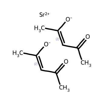 CC(=O)/C=C(/C)[O-].CC(=O)/C=C(/C)[O-].[Sr+2]